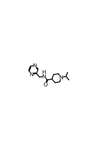 CC(C)N1CCC(C(=O)NCc2cnccn2)CC1